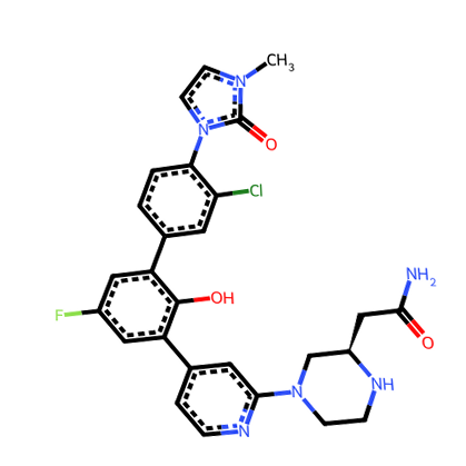 Cn1ccn(-c2ccc(-c3cc(F)cc(-c4ccnc(N5CCN[C@H](CC(N)=O)C5)c4)c3O)cc2Cl)c1=O